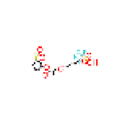 C=C(COCCCCC(F)(F)C(F)(F)S(=O)(=O)O)C(=O)Oc1cccc2sc(=O)oc12